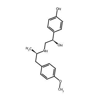 COc1ccc(C[C@@H](C)NC[C@H](O)c2c[c]c(O)cc2)cc1